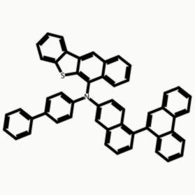 c1ccc(-c2ccc(N(c3ccc4c(-c5cc6ccccc6c6ccccc56)cccc4c3)c3c4ccccc4cc4c3sc3ccccc34)cc2)cc1